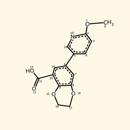 COc1ccc(-c2cc3c(c(C(=O)O)c2)OCCO3)cn1